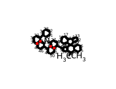 CC1(C)c2ccccc2C2(c3ccccc3-c3ccccc32)c2cc(-c3ccc(N(c4ccccc4-c4ccccc4)c4ccccc4-c4ccccc4)cc3)ccc21